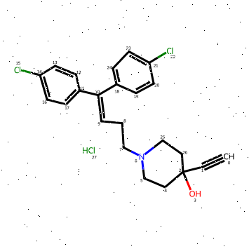 C#CC1(O)CCN(CCC=C(c2ccc(Cl)cc2)c2ccc(Cl)cc2)CC1.Cl